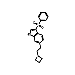 O=S(=O)(c1ccccc1)c1c[nH]c2cc(CCN3CCC3)ccc12